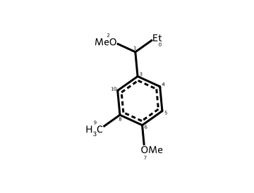 CCC(OC)c1ccc(OC)c(C)c1